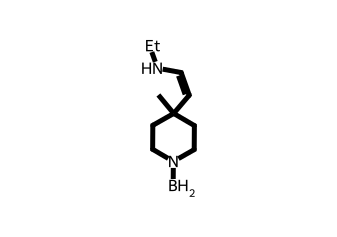 BN1CCC(C)(/C=C\NCC)CC1